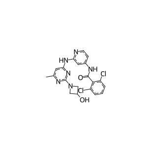 Cc1cc(Nc2cc(NC(=O)c3c(Cl)cccc3Cl)ccn2)nc(N2CC(O)C2)n1